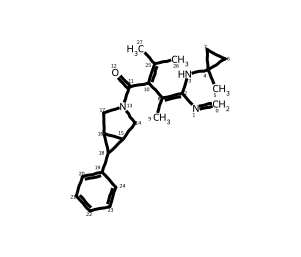 C=N/C(NC1(C)CC1)=C(\C)C(C(=O)N1CC2C(C1)C2c1ccccc1)=C(C)C